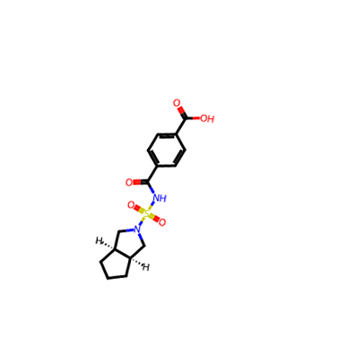 O=C(O)c1ccc(C(=O)NS(=O)(=O)N2C[C@H]3CCC[C@H]3C2)cc1